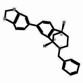 c1ccc(CN2CC[C@@H]3C[C@H]2c2cc(-c4ccc5c(c4)OCO5)ccc23)cc1